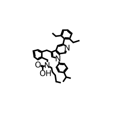 CCCCCN(Cc1ccccc1Cc1cn(-c2ccc(C(C)C)cc2)c2cnc(-c3c(CC)cccc3CC)cc12)C(=O)O